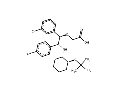 CC(C)(C)S[C@H]1CCCC[C@@H]1N[C@H](c1ccc(Cl)cc1)[C@H](OCC(=O)O)c1cccc(Cl)c1